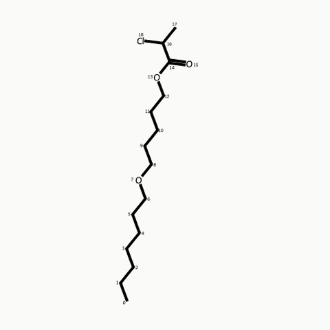 CCCCCCCOCCCCCOC(=O)C(C)Cl